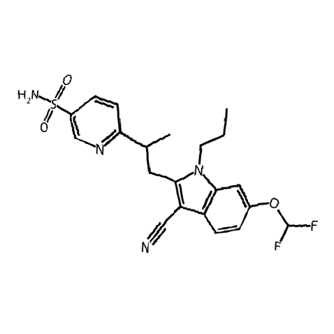 CCCn1c(CC(C)c2ccc(S(N)(=O)=O)cn2)c(C#N)c2ccc(OC(F)F)cc21